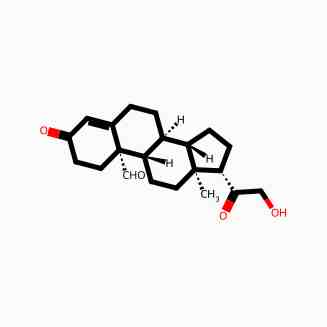 C[C@]12CC[C@H]3[C@@H](CCC4=CC(=O)CC[C@@]43C=O)[C@@H]1CC[C@@H]2C(=O)CO